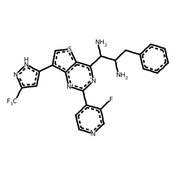 NC(Cc1ccccc1)C(N)c1nc(-c2ccncc2F)nc2c(-c3cc(C(F)(F)F)n[nH]3)csc12